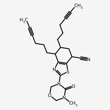 CC#CCCCC1CC(C#N)c2sc(N3COCN(C)C3=O)nc2C1CCCC#CC